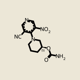 N#Cc1cncc([N+](=O)[O-])c1N1CCC[C@H](OC(N)=O)C1